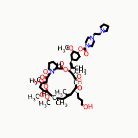 CO[C@H]1C[C@@H](C)C/C(C)=C/[C@@H](CCCCO)C(=O)C[C@H](O)[C@@H](C)[C@@H](/C(C)=C/[C@@H]2CC[C@@H](OC(=O)N3CCN(CCN4CCCC4)CC3)[C@H](OC)C2)OC(=O)[C@@H]2CCCCN2C(=O)C(=O)[C@]2(O)O[C@H]1[C@@H](OC)C[C@H]2C